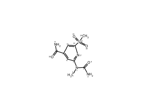 CN(C(N)=O)c1cc(C(N)=O)cc(S(C)(=O)=O)n1